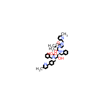 Cc1ccc(-c2ccc(C[C@@H]([C@@H](O)C[C@H](Cc3ccccc3)NC(=O)[C@@H](N3CCN(Cc4cccc(C)n4)C3=O)C(C)(C)C)N(Cc3ccccc3)C(=O)O)cc2)nc1